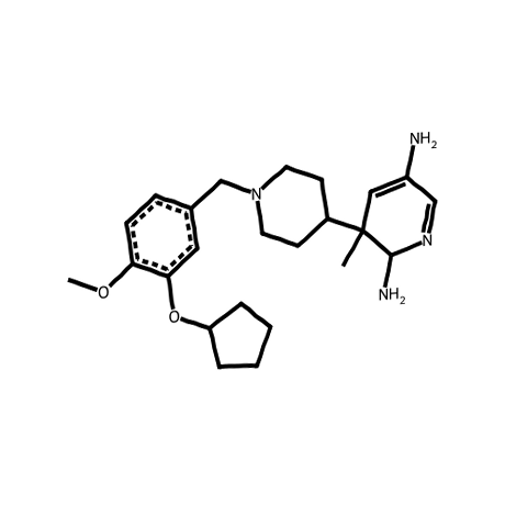 COc1ccc(CN2CCC(C3(C)C=C(N)C=NC3N)CC2)cc1OC1CCCC1